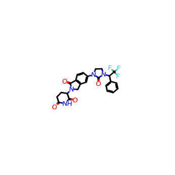 O=C1CCC(N2Cc3cc(N4CCN(C(c5ccccc5)C(F)(F)F)C4=O)ccc3C2=O)C(=O)N1